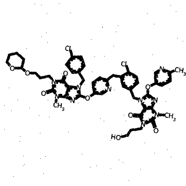 Cc1ccc(Oc2nc3c(c(=O)n(CCCO)c(=O)n3C)n2Cc2ccc(Cl)c(Cc3ccc(Oc4nc5c(c(=O)n(CCCOC6CCCCO6)c(=O)n5C)n4Cc4ccc(Cl)cc4)cn3)c2)cn1